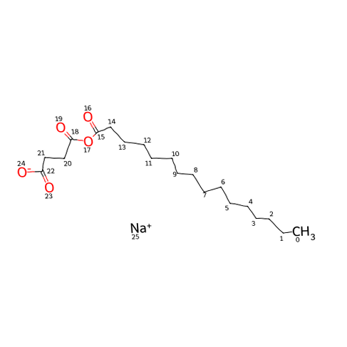 CCCCCCCCCCCCCCCC(=O)OC(=O)CCC(=O)[O-].[Na+]